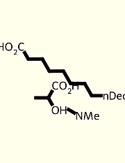 CC(O)C(=O)O.CCCCCCCCCCCCCCCCCC(=O)O.CNC